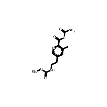 Cc1cc(CCNC(=O)OC(C)(C)C)cnc1C(=O)OC(N)=O